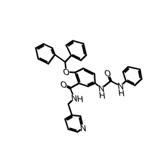 O=C(Nc1ccccc1)Nc1ccc(OC(c2ccccc2)c2ccccc2)c(C(=O)NCc2cccnc2)c1